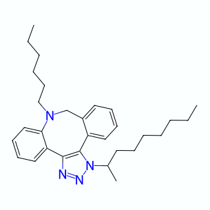 CCCCCCCC(C)n1nnc2c1-c1ccccc1CN(CCCCCC)c1ccccc1-2